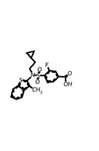 Cc1c(N(CCC2CC2)S(=O)(=O)c2ccc(C(=O)O)cc2F)sc2ccccc12